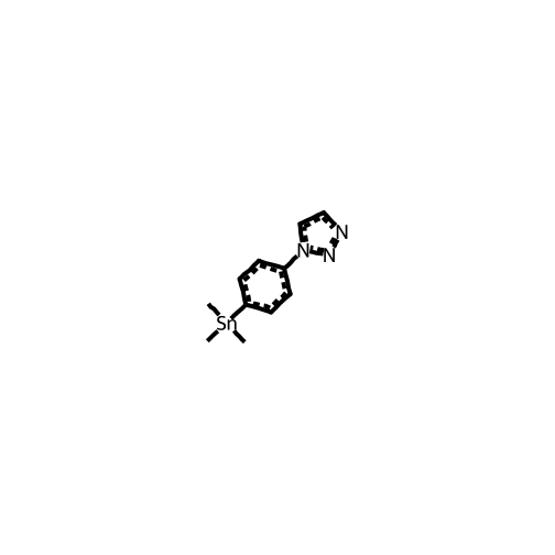 [CH3][Sn]([CH3])([CH3])[c]1ccc(-n2ccnn2)cc1